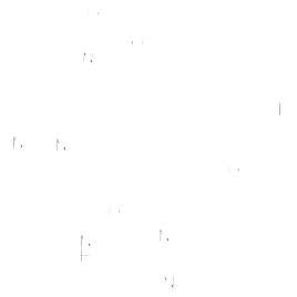 COC(=O)N1CC(c2nc(-c3ccc(C)c(NC(=O)c4cnc5ccc(COCCF)cn45)c3)no2)C1